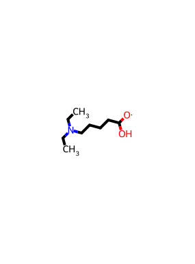 CCN(CC)CCCCC([O])O